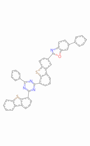 c1ccc(-c2ccc3nc(-c4ccc5sc6c(-c7nc(-c8ccccc8)nc(-c8cccc9c8sc8ccccc89)n7)cccc6c5c4)oc3c2)cc1